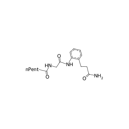 CCCCCC(=O)NCC(=O)Nc1ccccc1CCC(N)=O